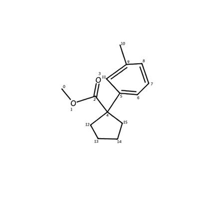 COC(=O)C1(c2cccc(C)c2)CCCC1